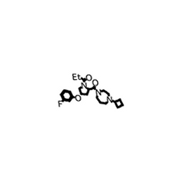 CCC(=O)N1CC(Oc2cccc(F)c2)CC1C(=O)N1CCCN(C2CCC2)CC1